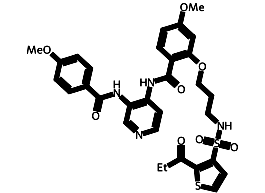 CCC(=O)c1sccc1S(=O)(=O)NCCCOc1cc(OC)ccc1C(=O)Nc1ccncc1NC(=O)c1ccc(OC)cc1